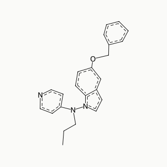 CCCN(c1ccncc1)n1ccc2cc(OCc3ccccc3)ccc21